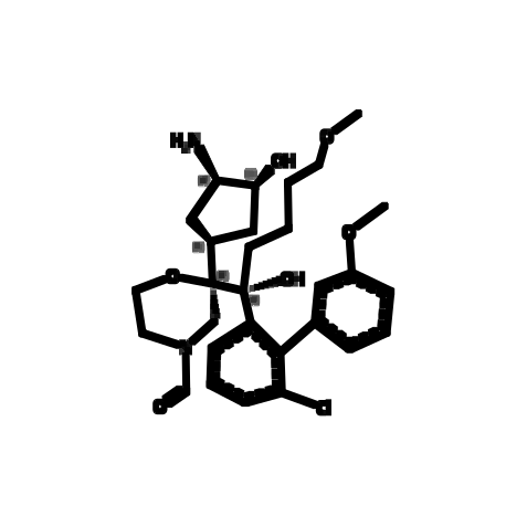 COCCCC[C@@](O)(c1cccc(Cl)c1-c1cccc(OC)c1)[C@@]1([C@H]2C[C@@H](N)[C@@H](O)C2)CN(C=O)CCO1